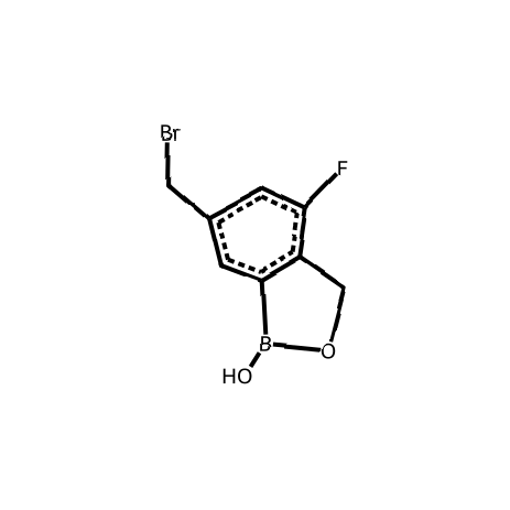 OB1OCc2c(F)cc(CBr)cc21